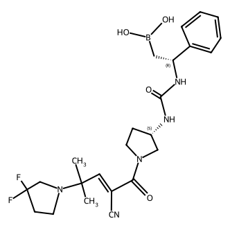 CC(C)(C=C(C#N)C(=O)N1CC[C@H](NC(=O)N[C@H](CB(O)O)c2ccccc2)C1)N1CCC(F)(F)C1